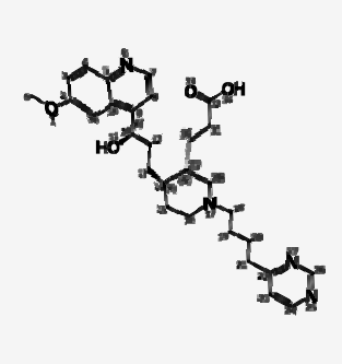 COc1ccc2nccc([C@H](O)CC[C@@H]3CCN(CCCCc4ccncn4)C[C@H]3CCC(=O)O)c2c1